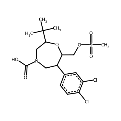 CC(C)(C)C1CN(C(=O)O)CC(c2ccc(Cl)c(Cl)c2)C(COS(C)(=O)=O)O1